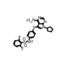 Nc1ncnc2c1c(Sc1ccc(NS(=O)(=O)c3c(F)cccc3F)cc1)cn2C1CCCC1